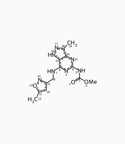 COC(=O)Nc1nc(NCc2cc(C)on2)c2[nH]nc(C)c2n1